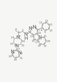 CC(CNc1nnc(-c2ccccc2)c2c1cc1ccccn12)N1CCN(c2ncccn2)CC1